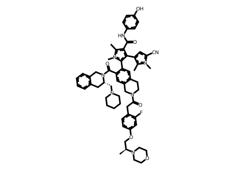 Cc1c(-c2c(C(=O)Nc3ccc(O)cc3)c(C)n(C)c2-c2cc3c(cc2C(=O)N2Cc4ccccc4C[C@H]2CN2CCCCC2)CN(C(=O)Cc2ccc(OC[C@H](C)N4CCOCC4)cc2F)CC3)cc(C#N)n1C